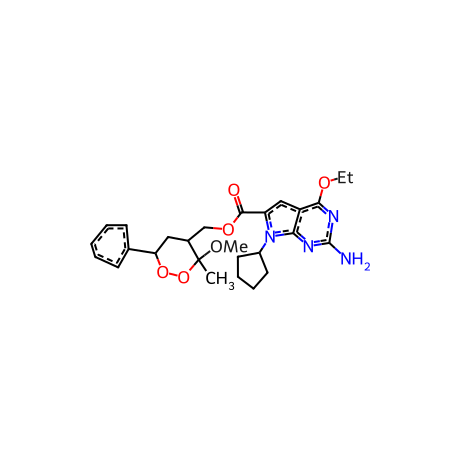 CCOc1nc(N)nc2c1cc(C(=O)OCC1CC(c3ccccc3)OOC1(C)OC)n2C1CCCC1